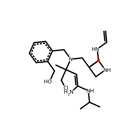 C=CNCC1(CN(Cc2ccccc2CO)C(C)(/C=C(\N)NC(C)C)CCl)CNC1